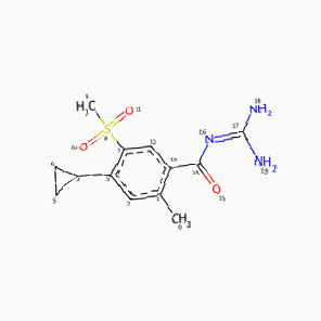 Cc1cc(C2CC2)c(S(C)(=O)=O)cc1C(=O)N=C(N)N